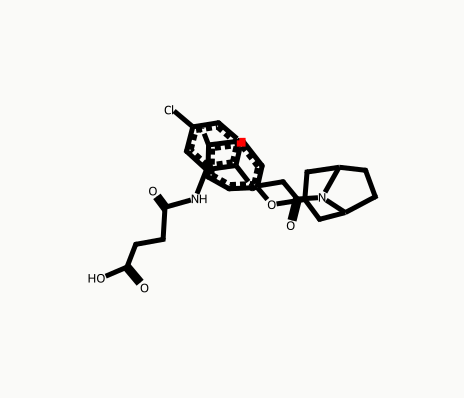 O=C(O)CCC(=O)Nc1cc(Cl)cnc1OCC(=O)N1C2CCC1CC(Oc1ccc(F)cc1)C2